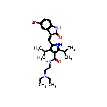 CCN(CC)CCNC(=O)c1c(C(C)C)[nH]c(C=C2C(=O)Nc3ccc(Br)cc32)c1C(C)C